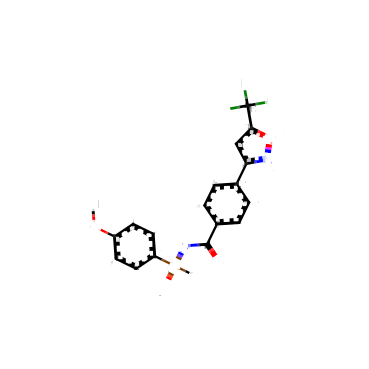 COc1ccc(S(C)(=O)=NC(=O)c2ccc(-c3cc(C(F)(F)F)on3)cc2)cc1